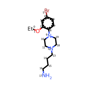 CCOc1cc(Br)ccc1N1CCN(CCCCN)CC1